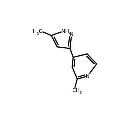 Cc1cc(-c2cc(C)[nH]n2)ccn1